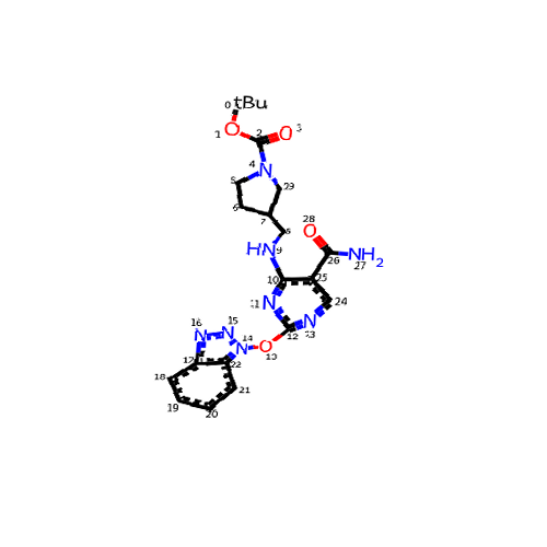 CC(C)(C)OC(=O)N1CCC(CNc2nc(On3nnc4ccccc43)ncc2C(N)=O)C1